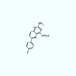 CCCCCc1nc(N)nc2ccc(-c3ccc(F)cc3)nc12